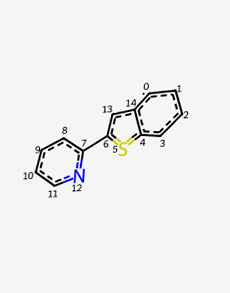 [c]1cccc2sc(-c3ccccn3)cc12